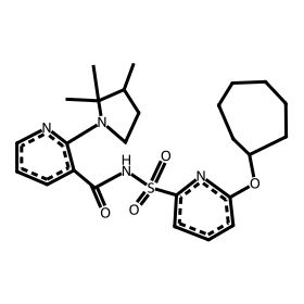 CC1CCN(c2ncccc2C(=O)NS(=O)(=O)c2cccc(OC3CCCCCC3)n2)C1(C)C